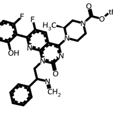 C=NC(Cn1c(=O)nc(N2CCN(C(=O)OC(C)(C)C)C[C@@H]2C)c2cc(F)c(-c3c(O)cccc3F)nc21)c1ccccc1